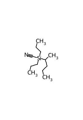 CCCC(C)[Si](C#N)(CCC)CCC